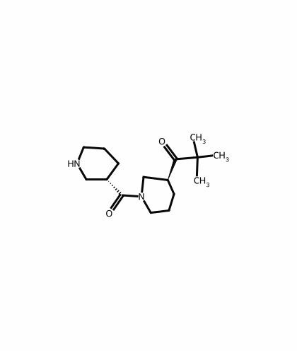 CC(C)(C)C(=O)[C@H]1CCCN(C(=O)[C@H]2CCCNC2)C1